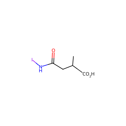 CC(CC(=O)NI)C(=O)O